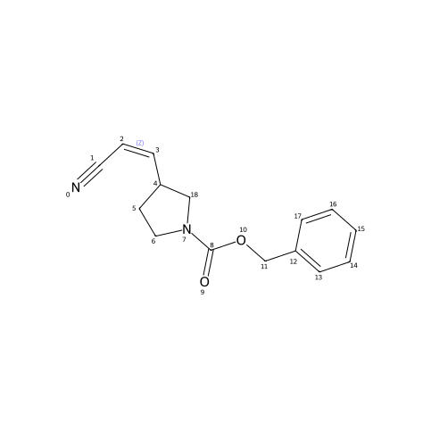 N#C/C=C\C1CCN(C(=O)OCc2ccccc2)C1